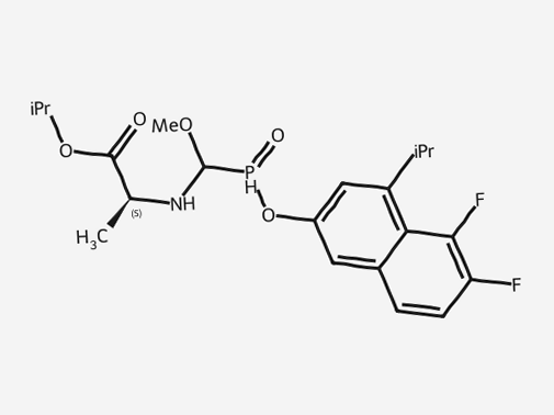 COC(N[C@@H](C)C(=O)OC(C)C)[PH](=O)Oc1cc(C(C)C)c2c(F)c(F)ccc2c1